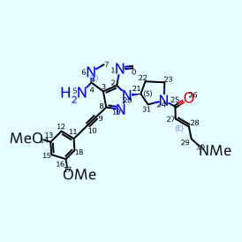 C=Nc1c(/C(N)=N\C)c(C#Cc2cc(OC)cc(OC)c2)nn1[C@H]1CCN(C(=O)/C=C/CNC)C1